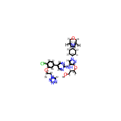 COCCC(C)Oc1nn([C@H]2CC[C@H](N3[C@@H]4CC[C@H]3COC4)CC2)cc1Nc1ncc(-c2ccc(Cl)c(O[C@@H](C)Cn3cnnn3)c2)cn1